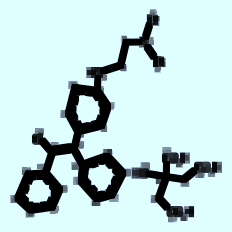 CCN(CC)CCNc1ccc(C(=C(Cl)c2ccccc2)c2ccccc2)cc1.O=C(O)CC(O)(CC(=O)O)C(=O)O